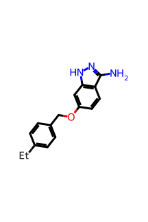 CCc1ccc(COc2ccc3c(N)n[nH]c3c2)cc1